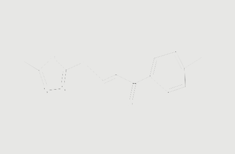 Cc1ccc(C(=O)/C=C/Sc2nnc(C)o2)cc1